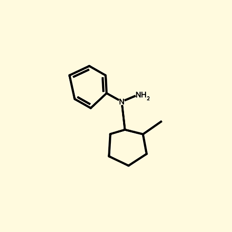 CC1CCCCC1N(N)c1ccccc1